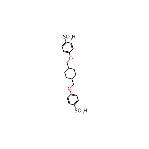 O=S(=O)(O)c1ccc(OCC2CCC(COc3ccc(S(=O)(=O)O)cc3)CC2)cc1